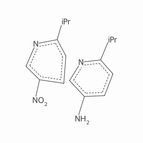 CC(C)c1ccc(N)cn1.CC(C)c1ccc([N+](=O)[O-])cn1